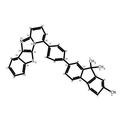 CC1(C)c2cc(C#N)ccc2-c2ccc(-c3ccc(-c4cccc5nc6c7ccccc7sc6n45)cc3)cc21